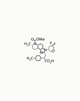 COC(=O)N1c2ccc3c(nc(CC(C(=O)O)c4ccc(C)cc4)n3C3COCC(F)(F)C3)c2CC[C@@H]1C